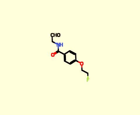 O=CCNC(=O)c1ccc(OCCF)cc1